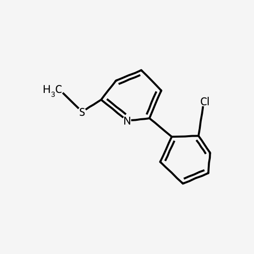 CSc1cccc(-c2ccccc2Cl)n1